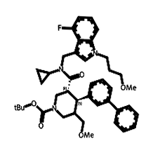 COCCCn1cc(CN(C(=O)[C@H]2CN(C(=O)OC(C)(C)C)CC(COC)[C@@H]2c2cccc(-c3ccccc3)c2)C2CC2)c2c(F)cccc21